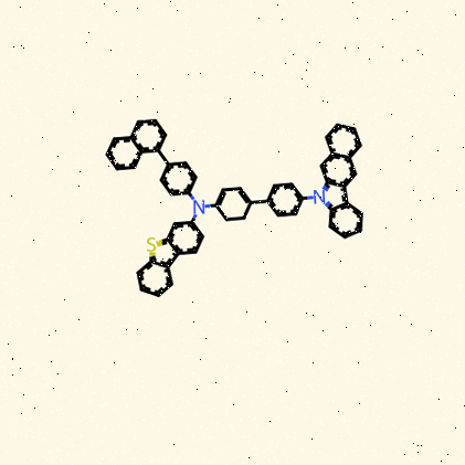 C1=C(c2ccc(-n3c4ccccc4c4cc5ccccc5cc43)cc2)CCC(N(c2ccc(-c3cccc4ccccc34)cc2)c2ccc3c(c2)sc2ccccc23)=C1